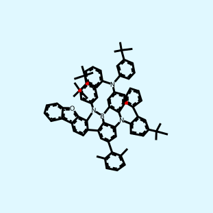 Cc1cccc(C)c1-c1cc2c3c(c1)N(c1ccc(C(C)(C)C)cc1-c1ccccc1)c1ccc(N(c4cccc(C(C)(C)C)c4)c4cccc(C(C)(C)C)c4)cc1B3N(c1ccc(C(C)(C)C)cc1)c1c-2ccc2c1oc1ccccc12